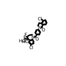 O=C1c2cccc(Cl)c2CCN1c1ccc(C(=O)N2CCC(F)(F)[C@](O)(CO)c3cc(Cl)ccc32)cc1